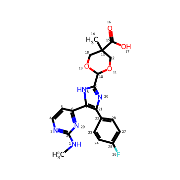 CNc1nccc(-c2[nH]c(C3OCC(C)(C(=O)O)CO3)nc2-c2ccc(F)cc2)n1